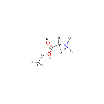 CC(C)COC(=O)C(C)(C)N(C)C